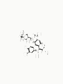 CCOc1cc2ncc(C#N)c(Nc3ccc(F)c(Cl)c3)c2cc1NC(=O)C1C[S+]([O-])S(=O)(=O)C1